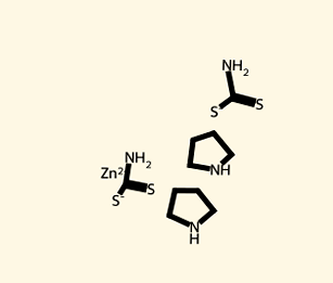 C1CCNC1.C1CCNC1.NC(=S)[S-].NC(=S)[S-].[Zn+2]